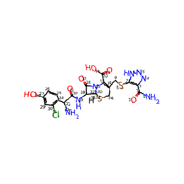 NC(=O)c1nn[nH]c1SCC1=C(C(=O)O)N2C(=O)C(NC(=O)C(N)c3ccc(O)cc3Cl)[C@@H]2SC1